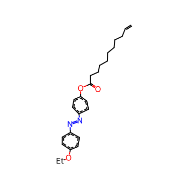 C=CCCCCCCCCC(=O)Oc1ccc(/N=N/c2ccc(OCC)cc2)cc1